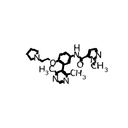 Cc1ncnc(C)c1-c1cc(NC(=O)c2ccnn2C)ccc1OCCN1CCCC1